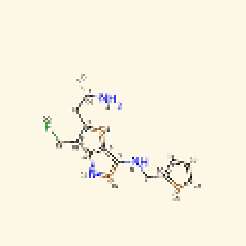 C[C@H](N)Cc1sc2c(NCc3cccs3)snc2c1CF